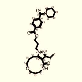 CCc1nn(CCCOC(=O)c2ccc(C(=O)N3CCCCC3)cc2)c2c1C(=O)NCCCOCCC2